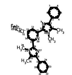 Cc1c(-c2ccccc2)nc(-c2cccc(-c3nc(-c4ccccc4)c(C)n3C)n2)n1C.[Cl-].[Cl-].[Cl-].[Fe+3]